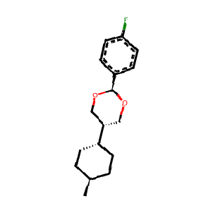 C[C@H]1CC[C@H]([C@H]2CO[C@H](c3ccc(F)cc3)OC2)CC1